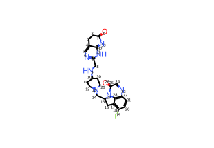 O=C1CCC2=CN=C(CNC3CCN(CC4Cc5c(F)ccc6ncc(=O)n4c56)CC3)NC2=N1